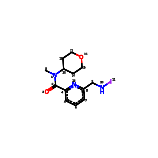 CN(C(=O)c1cccc(CNI)n1)C1CCOCC1